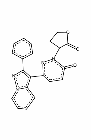 O=C1OCCC1n1nc(-c2c(-c3ccccc3)nn3ccccc23)ccc1=O